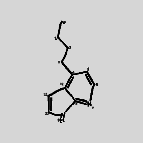 CCCCc1ccnc2[nH]ccc12